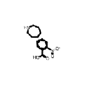 C1CCCNCC1.O=C(O)c1ccccc1[N+](=O)[O-]